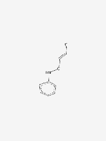 FC=CONc1ccccc1